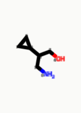 NCC(CO)C1CC1